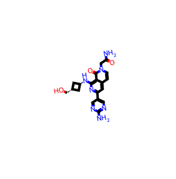 NC(=O)Cn1ccc2cc(-c3cnc(N)nc3)nc(N[C@H]3C[C@@H](CO)C3)c2c1=O